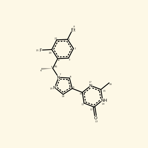 CCc1ccc([C@@H](C)n2cc(-c3cc(=O)[nH]c(C)n3)cn2)c(F)c1